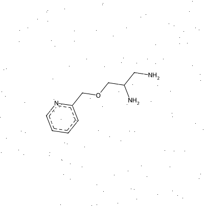 NCC(N)COCc1ccccn1